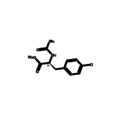 COC(=O)[C@@H](Cc1ccc(Cl)cc1)NC(=O)C(C)(C)C